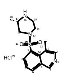 Cc1cncc2cccc(S(=O)(=O)N3CCN[C@@H](C)C3)c12.Cl